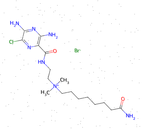 C[N+](C)(CCCCCCCC(N)=O)CCNC(=O)c1nc(Cl)c(N)nc1N.[Br-]